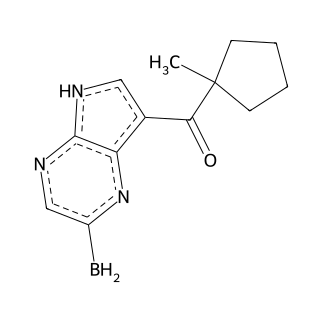 Bc1cnc2[nH]cc(C(=O)C3(C)CCCC3)c2n1